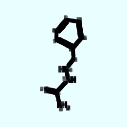 NC(=S)NN[CH]c1ccccc1